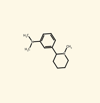 CN(C)c1cccc(C2CCCCN2C)c1